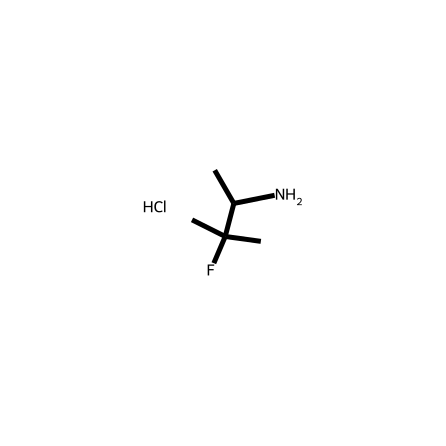 CC(N)C(C)(C)F.Cl